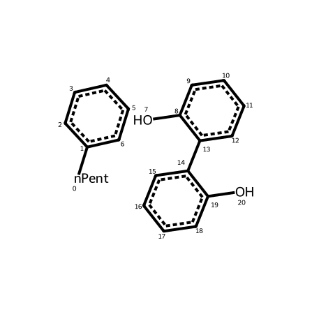 CCCCCc1ccccc1.Oc1ccccc1-c1ccccc1O